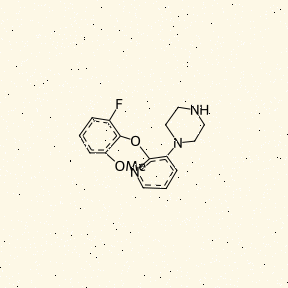 COc1cccc(F)c1Oc1ncccc1N1CCNCC1